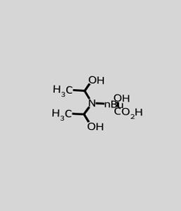 CCCCN(C(C)O)C(C)O.O=C(O)O